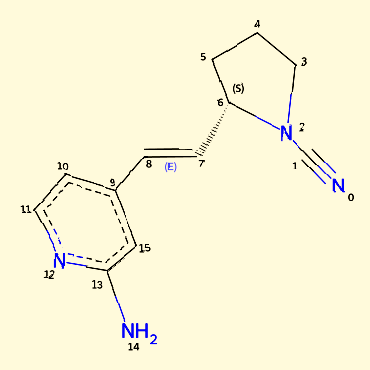 N#CN1CCC[C@H]1/C=C/c1ccnc(N)c1